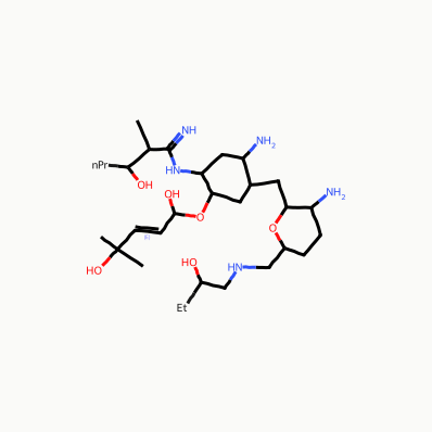 CCCC(O)C(C)C(=N)NC1CC(N)C(CC2OC(CNCC(O)CC)CCC2N)CC1OC(O)/C=C/C(C)(C)O